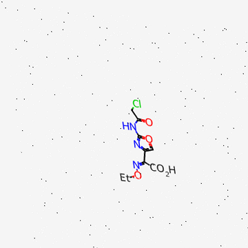 CCO/N=C(\C(=O)O)c1coc(NC(=O)CCl)n1